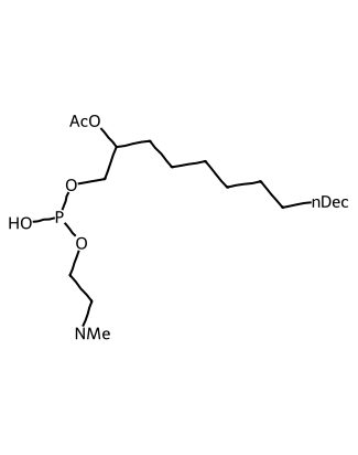 CCCCCCCCCCCCCCCCC(COP(O)OCCNC)OC(C)=O